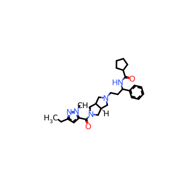 CCc1cc(C(=O)N2CC3CN(CCC(NC(=O)C4CCCC4)c4ccccc4)C[C@H]3C2)n(C)n1